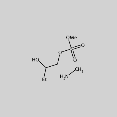 CCC(O)COS(=O)(=O)OC.CN